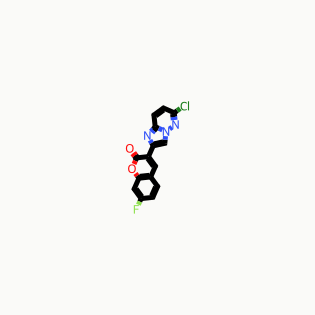 O=c1oc2cc(F)ccc2cc1-c1cn2nc(Cl)ccc2n1